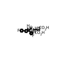 CC(CCC(CNC(=O)c1[nH]c2cc(-c3ccc(F)cc3)ccc2c1-c1ccc(F)cc1)NC(=O)O)NC(=O)O